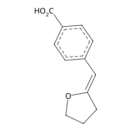 O=C(O)c1ccc(C=C2CCCO2)cc1